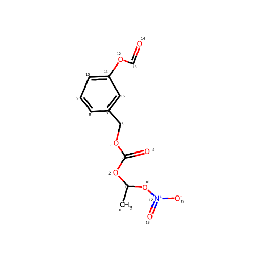 CC(OC(=O)OCc1cccc(OC=O)c1)O[N+](=O)[O-]